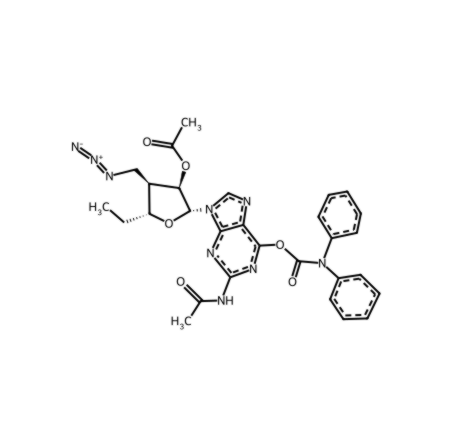 CC[C@H]1O[C@@H](n2cnc3c(OC(=O)N(c4ccccc4)c4ccccc4)nc(NC(C)=O)nc32)[C@H](OC(C)=O)[C@@H]1CN=[N+]=[N-]